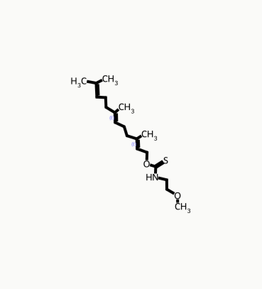 COCCNC(=S)OC/C=C(\C)CC/C=C(\C)CCC=C(C)C